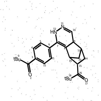 CC(C)(C)C(=O)c1ccc(C2=C3C(C=NN2)C2CC(C(=O)C(C)(C)C)C3C2)cc1